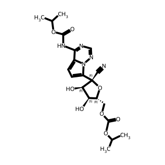 CC(C)OC(=O)Nc1ncnn2c([C@]3(C#N)O[C@H](COC(=O)OC(C)C)[C@@H](O)[C@H]3O)ccc12